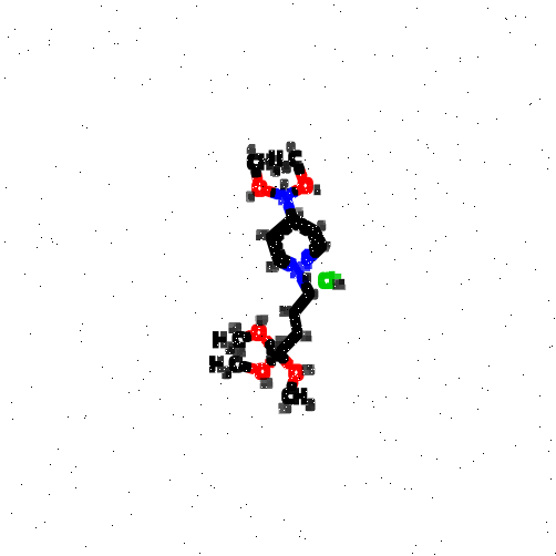 CON(OC)c1cc[n+](CCC[Si](OC)(OC)OC)cc1.[Cl-]